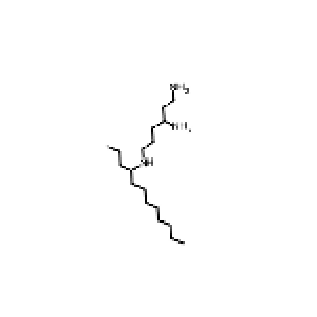 CCCCCCCCC(CCC)NCCCC(N)CCN